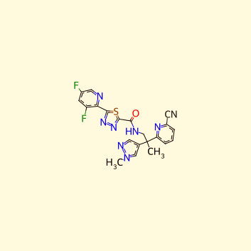 Cn1cc(C(C)(CNC(=O)c2nnc(-c3ncc(F)cc3F)s2)c2cccc(C#N)n2)cn1